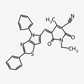 CCN1C(=O)C(C#N)=C(C)/C(=C/c2cc3sc(-c4ccccc4)nc3n2-c2ccccc2)C1=O